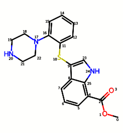 COC(=O)c1cccc2c(Sc3ccccc3N3CCNCC3)c[nH]c12